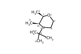 C[C@H]1OCCN(C(C)(C)C)[C@H]1C